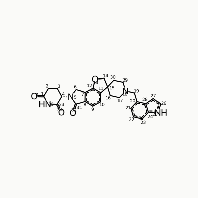 O=C1CC[C@H](N2Cc3c(ccc4c3OCC43CCN(Cc4cccc5[nH]ccc45)CC3)C2=O)C(=O)N1